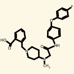 CN(CC(=O)Nc1ccc(Oc2ccc(F)cc2)cc1)C1CCN(Cc2ccccc2C(=O)O)CC1